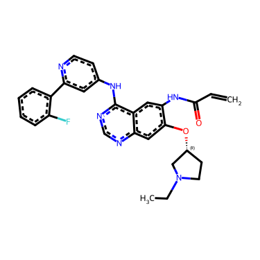 C=CC(=O)Nc1cc2c(Nc3ccnc(-c4ccccc4F)c3)ncnc2cc1O[C@@H]1CCN(CC)C1